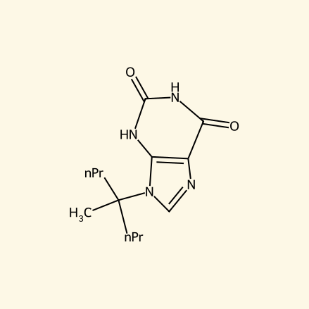 CCCC(C)(CCC)n1cnc2c(=O)[nH]c(=O)[nH]c21